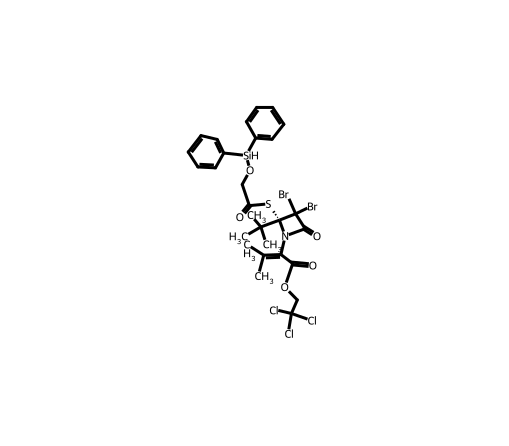 CC(C)=C(C(=O)OCC(Cl)(Cl)Cl)N1C(=O)C(Br)(Br)[C@]1(SC(=O)CO[SiH](c1ccccc1)c1ccccc1)C(C)(C)C